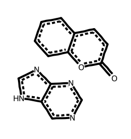 O=c1ccc2ccccc2o1.c1ncc2[nH]cnc2n1